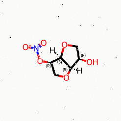 O=[N+]([O-])O[C@@H]1CO[C@H]2[C@@H]1OC[C@H]2O